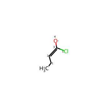 CC/C=C(/[O])Cl